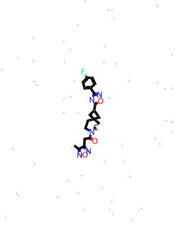 Cc1nonc1CC(=O)N1CCC2(CC1)CC(c1nc(-c3ccc(F)cc3)no1)C2